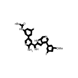 CCCCC(=O)Nc1cc(I)cc(-c2cnc(N)c(C(=N)c3cc4c(-c5cc(F)cc(OC)c5)cncc4[nH]3)c2)c1